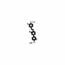 CCCOc1ccc(-c2ccc(/C=C/c3ccc(OC)c(F)c3)c(F)c2)cc1F